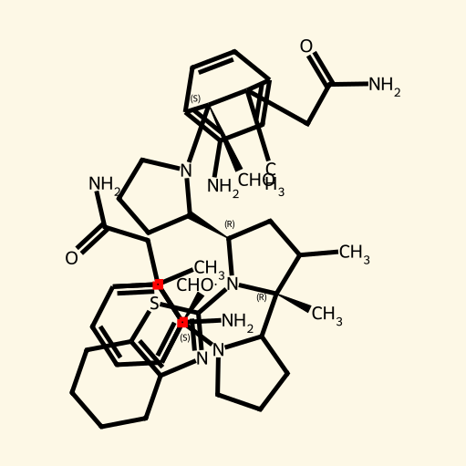 CC1C[C@H](C2CCCN2[C@]2([C]=O)c3ccc(cc3N)C2(C)CC(N)=O)N(c2nc3c(s2)CCCC3)[C@@]1(C)C1CCCN1[C@]1([C]=O)c2ccc(cc2N)C1(C)CC(N)=O